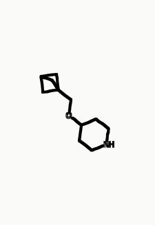 C1CC(OCC23CC(C2)C3)CCN1